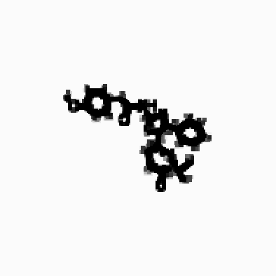 COc1ccc(CC(=O)Nc2nc(-c3ccccc3)c(-c3ccc(=O)n(C(C)C)n3)s2)cc1